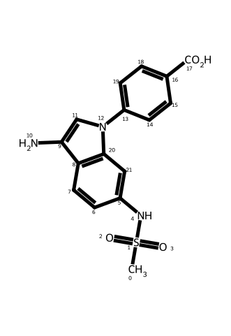 CS(=O)(=O)Nc1ccc2c(N)cn(-c3ccc(C(=O)O)cc3)c2c1